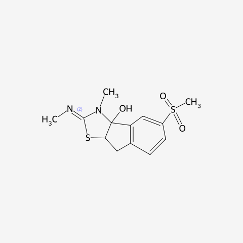 C/N=C1\SC2Cc3ccc(S(C)(=O)=O)cc3C2(O)N1C